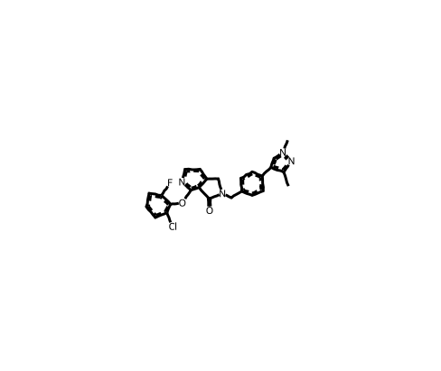 Cc1nn(C)cc1-c1ccc(CN2Cc3ccnc(Oc4c(F)cccc4Cl)c3C2=O)cc1